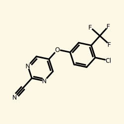 N#Cc1ncc(Oc2ccc(Cl)c(C(F)(F)F)c2)cn1